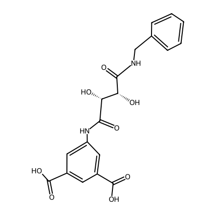 O=C(O)c1cc(NC(=O)[C@H](O)[C@@H](O)C(=O)NCc2ccccc2)cc(C(=O)O)c1